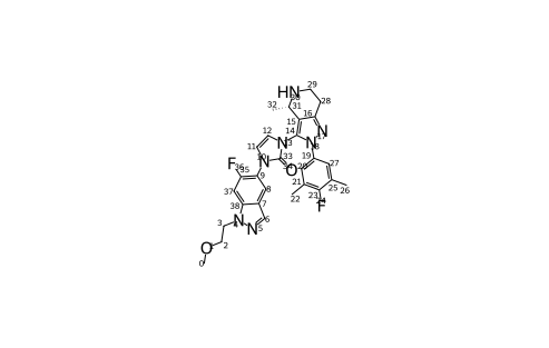 COCCn1ncc2cc(-n3ccn(-c4c5c(nn4-c4cc(C)c(F)c(C)c4)CCN[C@H]5C)c3=O)c(F)cc21